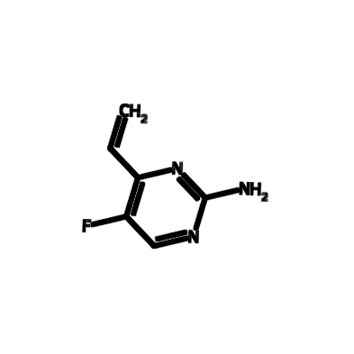 C=Cc1nc(N)ncc1F